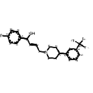 OC(/C=C/CN1CCC(c2cccc(C(F)(F)F)c2)CC1)c1ccc(F)cc1